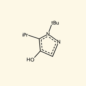 CC(C)c1c(O)cnn1C(C)(C)C